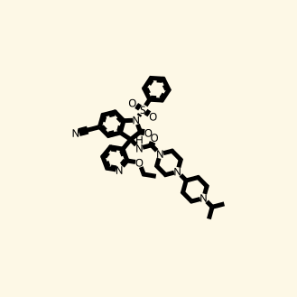 CCOc1ncccc1C1(NC(=O)N2CCN(C3CCN(C(C)C)CC3)CC2)C(=O)N(S(=O)(=O)c2ccccc2)c2ccc(C#N)cc21